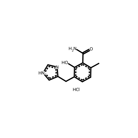 Cc1ccc(Cc2c[nH]cn2)c(O)c1C(N)=O.Cl